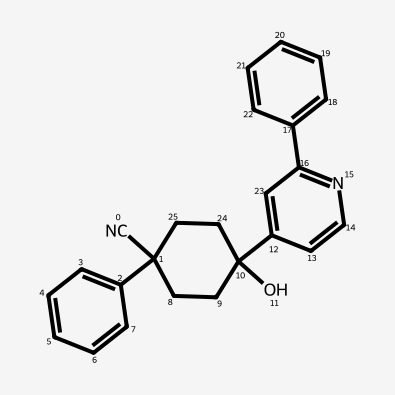 N#CC1(c2ccccc2)CCC(O)(c2ccnc(-c3ccccc3)c2)CC1